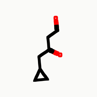 O=CCC(=O)CC1CC1